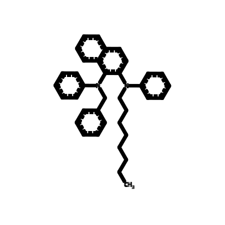 CCCCCCCCN(c1ccccc1)c1ccc2ccccc2c1N(Cc1ccccc1)c1ccccc1